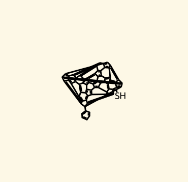 SCC12c3c4c5c6c7c8c9c%10c(c1c1c%11c2c2c%12c3c5c3c5c%12c%12c2c2c%11c%11c%13c1c%10c1c%10c9c9c7c7c6c3c3c5c5c%12c6c2c%11c2c(c%131)c1c%10c9c9c7c3c3c9c1c2c6c53)C48c1ccccc1